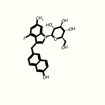 Cc1cc(F)c2c(Cc3ccc4cc(O)ccc4c3)cn([C@@H]3O[C@H](CO)[C@@H](O)[C@H](O)[C@H]3O)c2c1